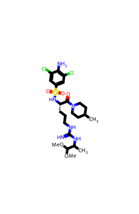 COC(OC)C(C)NC(=N)NCCC[C@H](NS(=O)(=O)c1cc(Cl)c(N)c(Cl)c1)C(=O)N1CCC(C)CC1